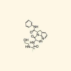 CC(C)C(NC(=O)[C@H](C)NCCO)C(=O)N1c2ncccc2CC1C(=O)Nc1ccccc1